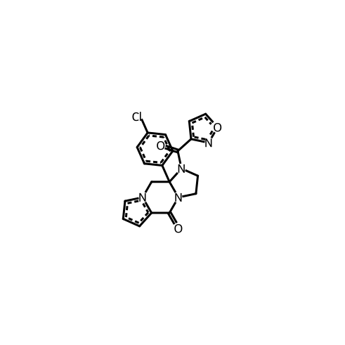 O=C(c1ccon1)N1CCN2C(=O)c3cccn3CC12c1ccc(Cl)cc1